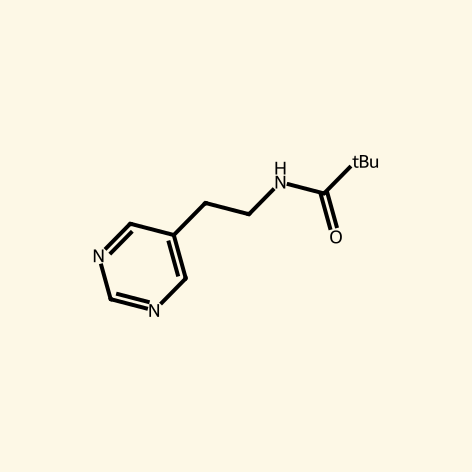 CC(C)(C)C(=O)NCCc1cncnc1